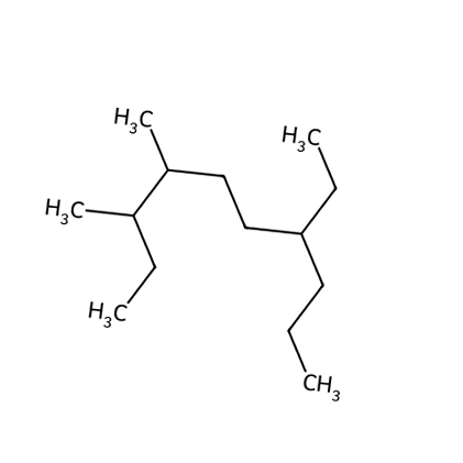 CCCC(CC)CCC(C)C(C)CC